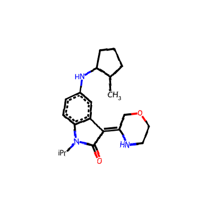 CC1CCCC1Nc1ccc2c(c1)/C(=C1\COCCN1)C(=O)N2C(C)C